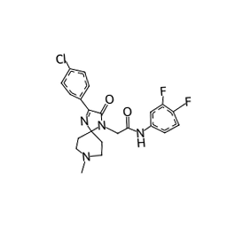 CN1CCC2(CC1)N=C(c1ccc(Cl)cc1)C(=O)N2CC(=O)Nc1ccc(F)c(F)c1